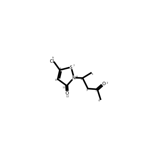 CC(=O)CC(C)n1sc(Cl)cc1=O